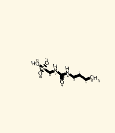 CCCCNC(=O)NCS(=O)(=O)O